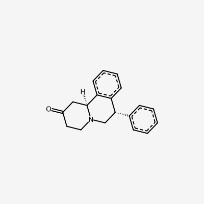 O=C1CCN2C[C@@H](c3ccccc3)c3ccccc3[C@@H]2C1